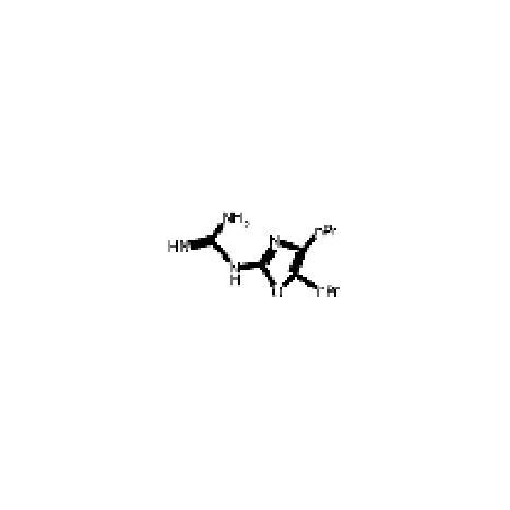 CCCc1nc(NC(=N)N)oc1CCC